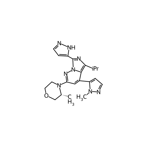 CC(C)c1nc(-c2ccn[nH]2)n2nc(N3CCOC[C@H]3C)cc(-c3ccnn3C)c12